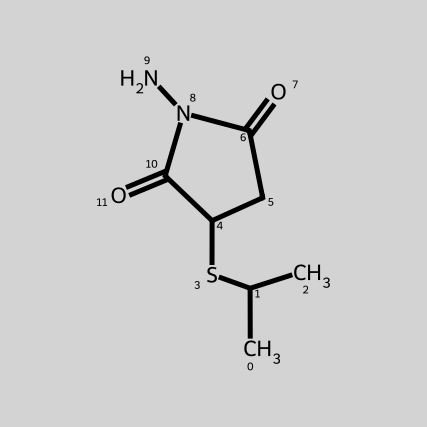 CC(C)SC1CC(=O)N(N)C1=O